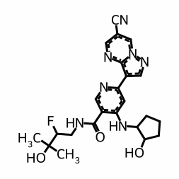 CC(C)(O)C(F)CNC(=O)c1cnc(-c2cnn3cc(C#N)cnc23)cc1NC1CCCC1O